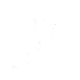 OCCOc1[c]cccc1